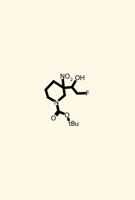 CC(C)(C)OC(=O)N1CCCC(C(O)CF)([N+](=O)[O-])C1